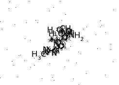 Cn1cc(-c2cn(-c3cccc4c(-c5ccc(C(N)=O)c(NC(C)(C)C)c5)cc(C5CC5)nc34)cn2)cn1